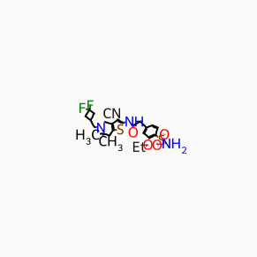 CCOc1cc(CC(=O)Nc2sc3c(c2C#N)CN(CC2CC(F)(F)C2)C(C)(C)C3)ccc1S(N)(=O)=O